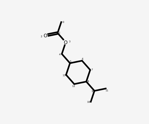 CC(=O)OCC1CCC(C(C)C)CC1